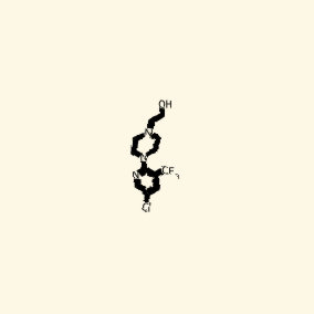 OCCN1CCN(c2ncc(Cl)cc2C(F)(F)F)CC1